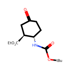 CCOC(=O)[C@H]1CC(=O)CC[C@@H]1NC(=O)OC(C)(C)C